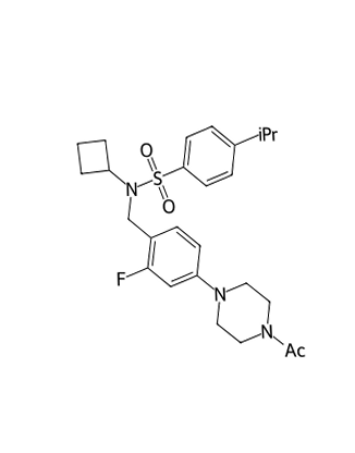 CC(=O)N1CCN(c2ccc(CN(C3CCC3)S(=O)(=O)c3ccc(C(C)C)cc3)c(F)c2)CC1